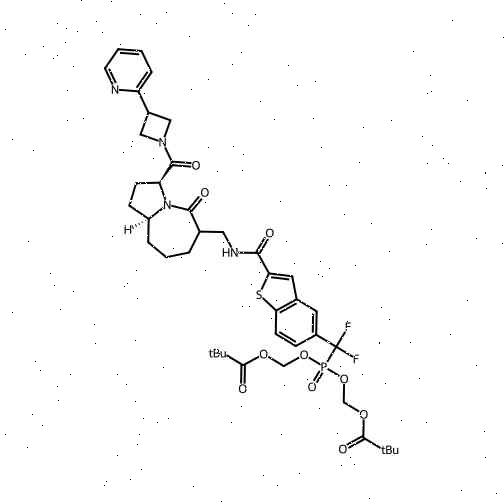 CC(C)(C)C(=O)OCOP(=O)(OCOC(=O)C(C)(C)C)C(F)(F)c1ccc2sc(C(=O)NCC3CCC[C@H]4CC[C@@H](C(=O)N5CC(c6ccccn6)C5)N4C3=O)cc2c1